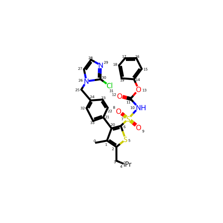 Cc1c(CC(C)C)sc(S(=O)(=O)NC(=O)Oc2ccccc2)c1-c1ccc(Cn2ccnc2Cl)cc1